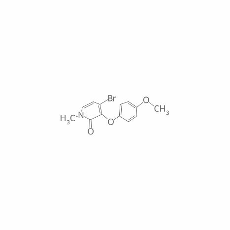 COc1ccc(Oc2c(Br)ccn(C)c2=O)cc1